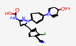 N#Cc1ccc(-c2cc(NC(=O)O)nn2-c2ccc(N3CCC(O)CC3)cc2)cc1F